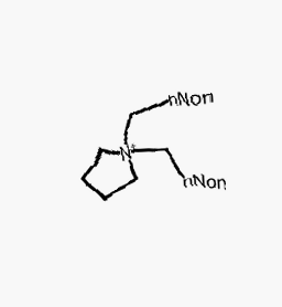 CCCCCCCCCC[N+]1(CCCCCCCCCC)CCCC1